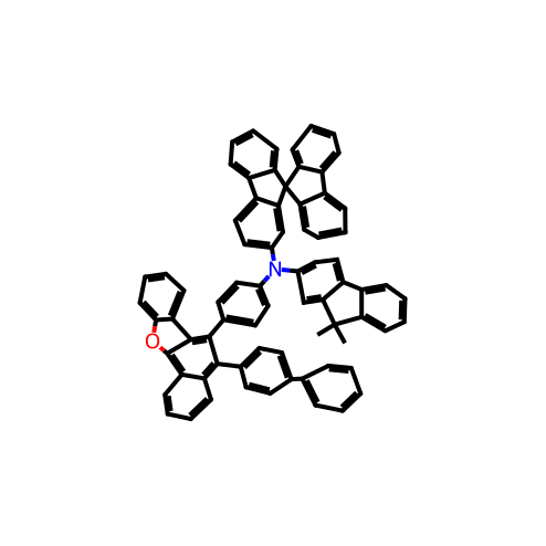 CC1(C)c2ccccc2-c2ccc(N(c3ccc(-c4c(-c5ccc(-c6ccccc6)cc5)c5ccccc5c5oc6ccccc6c45)cc3)c3ccc4c(c3)C3(c5ccccc5-c5ccccc53)c3ccccc3-4)cc21